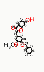 COc1cc(/C=C2\Oc3cc(O)ccc3C2=O)ccc1OCc1ccccc1